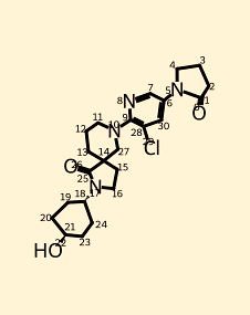 O=C1CCCN1c1cnc(N2CCCC3(CCN([C@H]4CC[C@H](O)CC4)C3=O)C2)c(Cl)c1